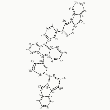 c1cc(-c2ccc3oc4ccccc4c3c2)cc(-c2c3ccccc3c(-c3cccc(-c4cccc5c4sc4ccccc45)c3)c3ccccc23)c1